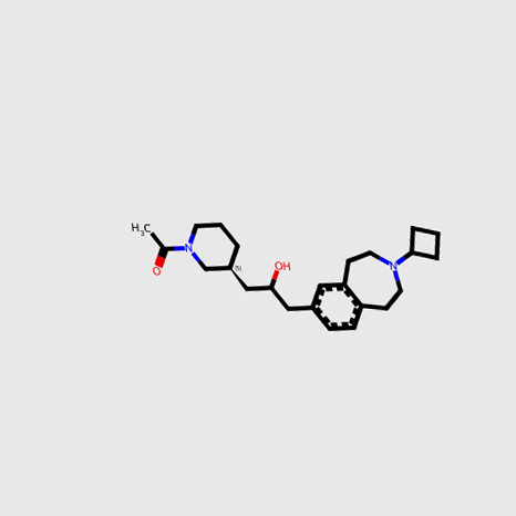 CC(=O)N1CCC[C@@H](CC(O)Cc2ccc3c(c2)CCN(C2CCC2)CC3)C1